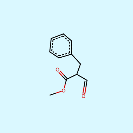 COC(=O)C(C=O)Cc1ccccc1